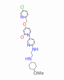 CO[C@H]1CC[C@H](NCCNc2ccc(-n3ccc(OCc4ccc(Cl)cn4)cc3=O)cn2)CC1